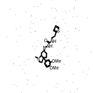 COc1ccc(C23CC/C(=N\NC(=O)NCCc4cccs4)CC2N(C)CC3)cc1OC